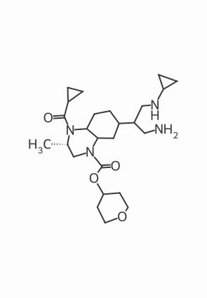 C[C@H]1CN(C(=O)OC2CCOCC2)C2CC(C(CN)CNC3CC3)CCC2N1C(=O)C1CC1